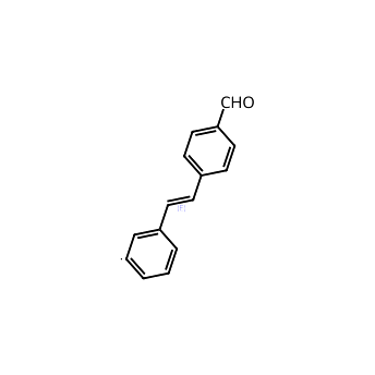 O=Cc1ccc(/C=C/c2c[c]ccc2)cc1